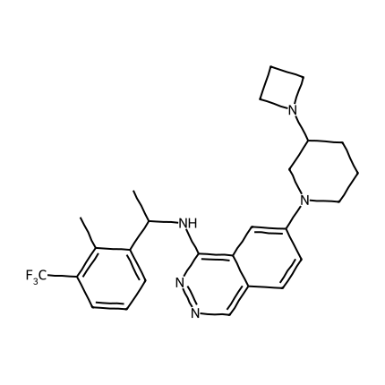 Cc1c(C(C)Nc2nncc3ccc(N4CCCC(N5CCC5)C4)cc23)cccc1C(F)(F)F